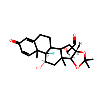 CC1(C)O[C@H]2CC3C4CCC5=CC(=O)C=CC5(C)[C@@]4(F)[C@@H](O)CC3(C)[C@]2(C(=O)C=O)O1